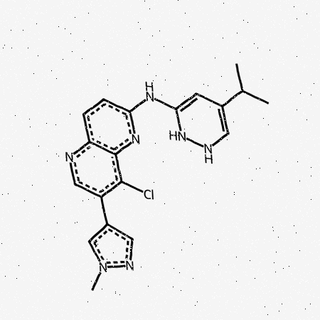 CC(C)C1=CNNC(Nc2ccc3ncc(-c4cnn(C)c4)c(Cl)c3n2)=C1